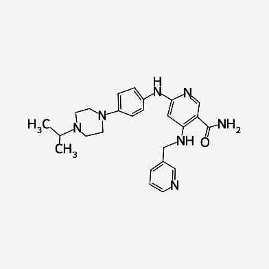 CC(C)N1CCN(c2ccc(Nc3cc(NCc4cccnc4)c(C(N)=O)cn3)cc2)CC1